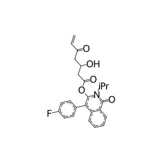 C=CC(=O)CC(O)CC(=O)Oc1c(-c2ccc(F)cc2)c2ccccc2c(=O)n1C(C)C